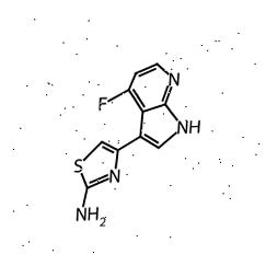 Nc1nc(-c2c[nH]c3nccc(F)c23)cs1